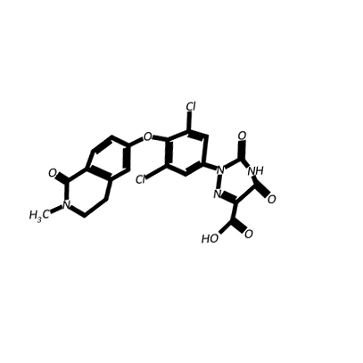 CN1CCc2cc(Oc3c(Cl)cc(-n4nc(C(=O)O)c(=O)[nH]c4=O)cc3Cl)ccc2C1=O